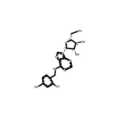 OC[C@H]1O[C@@H](n2cnc3c(NCc4ccc(O)cc4O)ncnc32)[C@@H](O)[C@@H]1O